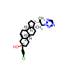 C=C(Cn1ncnn1)[C@H]1CC[C@H]2[C@@H]3CC=C4C[C@@](O)(C#CCl)CC[C@@H]4[C@H]3CC[C@]12C